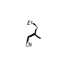 CCSC(C)CC#N